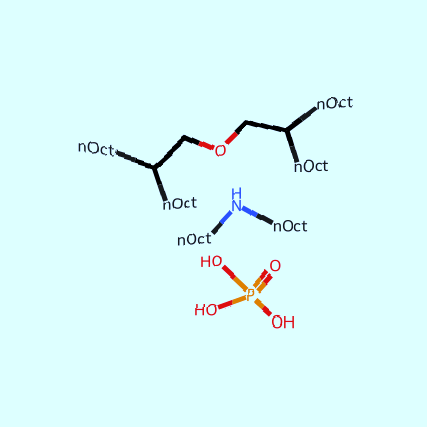 CCCCCCCCC(CCCCCCCC)COCC(CCCCCCCC)CCCCCCCC.CCCCCCCCNCCCCCCCC.O=P(O)(O)O